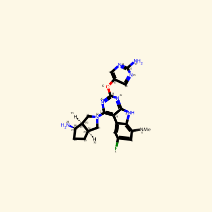 CNc1cc(F)cc2c1[nH]c1nc(Oc3cnc(N)nc3)nc(N3C[C@H]4CC[C@@H](N)[C@H]4C3)c12